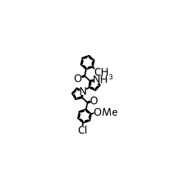 COc1cc(Cl)ccc1C(=O)c1cccn1-c1cc[nH]c1C(=O)c1ccccc1C